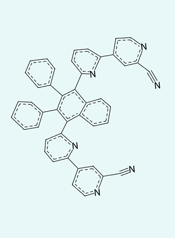 N#Cc1cc(-c2cccc(-c3c(-c4ccccc4)c(-c4ccccc4)c(-c4cccc(-c5ccnc(C#N)c5)n4)c4ccccc34)n2)ccn1